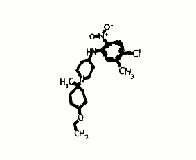 CCOC1CCC(C)(N2CCC(Nc3cc(C)c(Cl)cc3[N+](=O)[O-])CC2)CC1